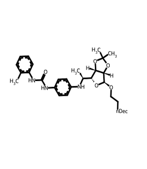 CCCCCCCCCCCCO[C@H]1O[C@H]([C@H](C)Nc2ccc(NC(=O)Nc3ccccc3C)cc2)[C@@H]2OC(C)(C)O[C@H]12